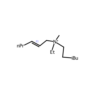 CCC/C=C/C[N+](C)(CC)CCC(C)CC